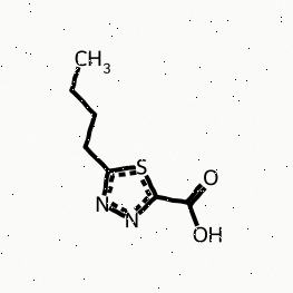 CCCCc1nnc(C(=O)O)s1